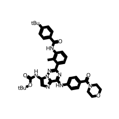 Cc1c(NC(=O)c2ccc(C(C)(C)C)cc2)cccc1-c1nc(Nc2ccc(C(=O)N3CCOCC3)cc2)c2ncc(NC(=O)OC(C)(C)C)n2n1